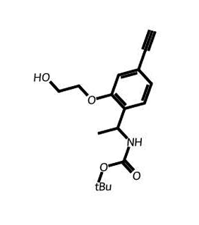 C#Cc1ccc(C(C)NC(=O)OC(C)(C)C)c(OCCO)c1